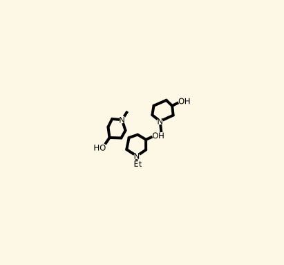 CCN1CCCC(O)C1.CN1CCC(O)CC1.CN1CCCC(O)C1